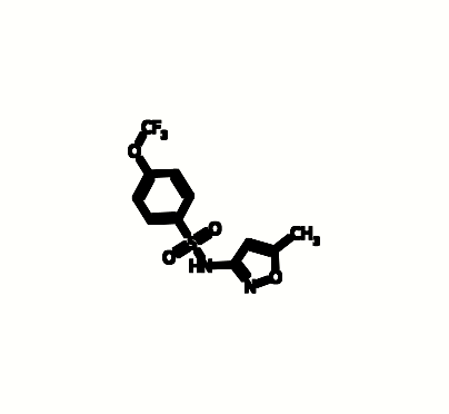 Cc1cc(NS(=O)(=O)c2ccc(OC(F)(F)F)cc2)no1